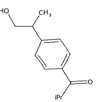 CC(C)C(=O)c1ccc(C(C)CO)cc1